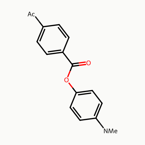 CNc1ccc(OC(=O)c2ccc(C(C)=O)cc2)cc1